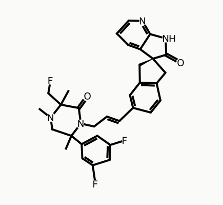 CN1CC(C)(c2cc(F)cc(F)c2)N(CC=Cc2ccc3c(c2)C[C@]2(C3)C(=O)Nc3ncccc32)C(=O)C1(C)CF